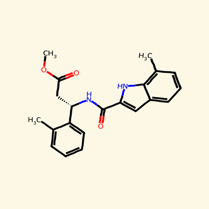 COC(=O)C[C@H](NC(=O)c1cc2cccc(C)c2[nH]1)c1ccccc1C